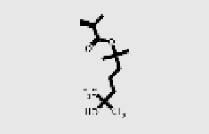 C=C(C)C(=O)OC(C)(C)CCCC(O)(C(F)(F)F)C(F)(F)F